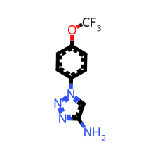 Nc1cn(-c2ccc(OC(F)(F)F)cc2)nn1